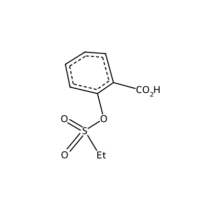 CCS(=O)(=O)Oc1ccccc1C(=O)O